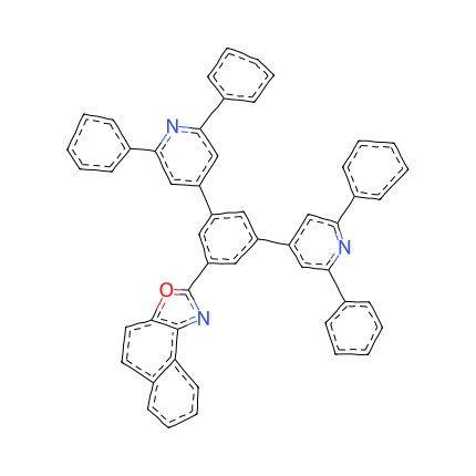 c1ccc(-c2cc(-c3cc(-c4cc(-c5ccccc5)nc(-c5ccccc5)c4)cc(-c4nc5c(ccc6ccccc65)o4)c3)cc(-c3ccccc3)n2)cc1